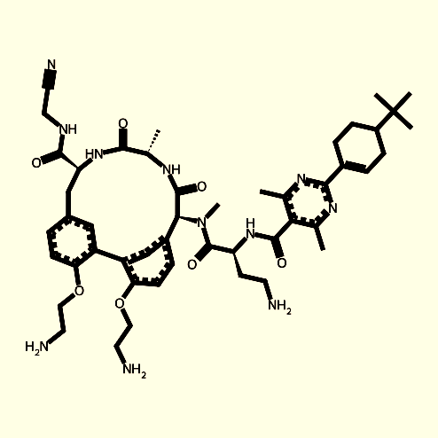 Cc1nc(C2=CCC(C(C)(C)C)CC2)nc(C)c1C(=O)N[C@@H](CCN)C(=O)N(C)[C@@H]1C(=O)N[C@@H](C)C(=O)N[C@H](C(=O)NCC#N)Cc2ccc(OCCN)c(c2)-c2cc1ccc2OCCN